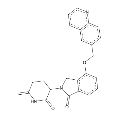 C=C1CCC(N2Cc3c(OCc4ccc5ncccc5c4)cccc3C2=O)C(=O)N1